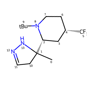 CC1([C@H]2C[C@@H](C(F)(F)F)CCN2C(C)(C)C)CC=NN1